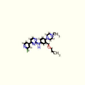 C=CCOCc1cc(Nc2nccc(-c3ccnc(F)c3)n2)ccc1N1CCN(C)CC1